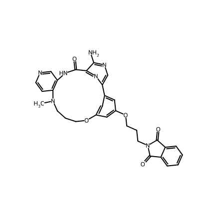 CN1CCCOc2cc(OCCCN3C(=O)c4ccccc4C3=O)cc(c2)-c2cnc(N)c(n2)C(=O)Nc2cnccc21